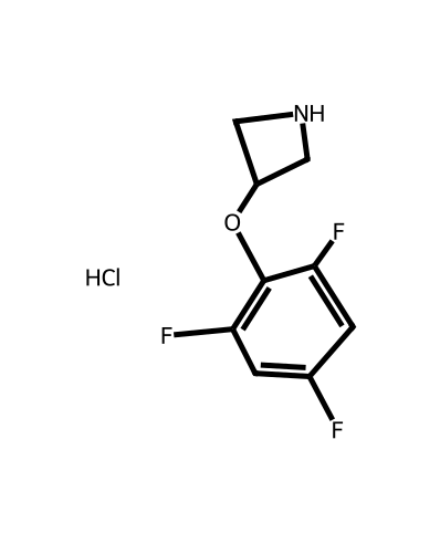 Cl.Fc1cc(F)c(OC2CNC2)c(F)c1